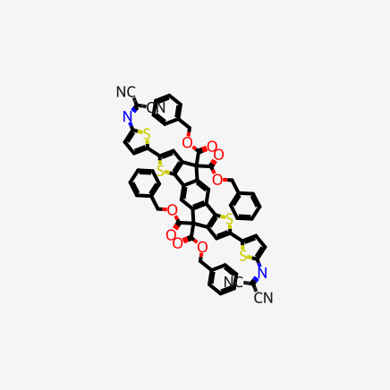 N#CC(C#N)=Nc1ccc(-c2cc3c(s2)-c2cc4c(cc2C3(C(=O)OCc2ccccc2)C(=O)OCc2ccccc2)-c2sc(-c3ccc(N=C(C#N)C#N)s3)cc2C4(C(=O)OCc2ccccc2)C(=O)OCc2ccccc2)s1